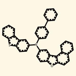 c1ccc(-c2ccc(N(c3ccc4sc5ccccc5c4c3)c3ccc4oc5ccc6ccccc6c5c4c3)cc2)cc1